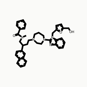 CN(CC(CCN1CCCN(c2nc3ccccc3n2Cc2ccc(CO)o2)CC1)c1ccc2ccccc2c1)C(=O)c1ccccc1